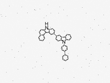 c1ccc(-c2ccc(-n3c4ccccc4c4cc(-c5ccc6[nH]c7ccc8ccccc8c7c6c5)ccc43)cc2)cc1